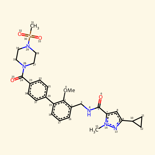 COc1c(CNC(=O)c2cc(C3CC3)nn2C)cccc1-c1ccc(C(=O)N2CCN(S(C)(=O)=O)CC2)cc1